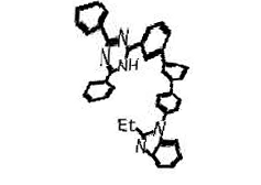 CCc1nc2ccccc2n1-c1ccc(-c2cccc(-c3cccc(C4N=C(c5ccccc5)N=C(c5ccccc5)N4)c3)c2)cc1